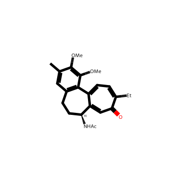 CCc1ccc2c(cc1=O)[C@@H](NC(C)=O)CCc1cc(C)c(OC)c(OC)c1-2